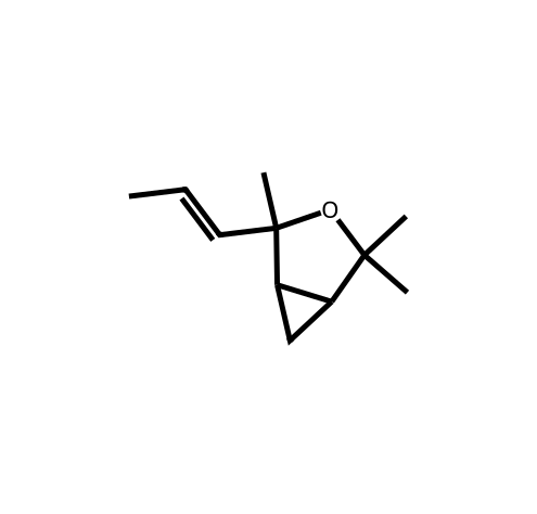 CC=CC1(C)OC(C)(C)C2CC21